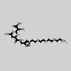 CCCOCCOCCOCCn1cc(CNC(=O)C(CC(=O)O)SCC(N)C(=O)O)nn1